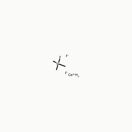 C[Si](C)(C)F.[F-].[F-].[GeH2+2]